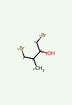 CC(CBr)C(O)CBr